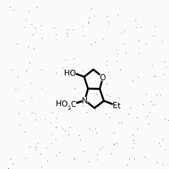 CCC1CN(C(=O)O)C2C(O)COC12